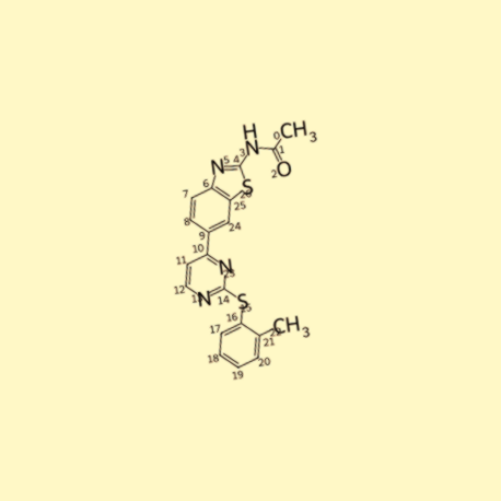 CC(=O)Nc1nc2ccc(-c3ccnc(Sc4ccccc4C)n3)cc2s1